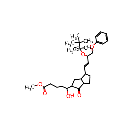 COC(=O)CCCC(O)C1CC2C(C=CC(COc3ccccc3)O[Si](C)(C)C(C)(C)C)CCC2C1=O